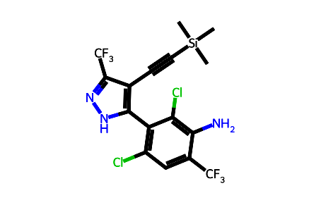 C[Si](C)(C)C#Cc1c(C(F)(F)F)n[nH]c1-c1c(Cl)cc(C(F)(F)F)c(N)c1Cl